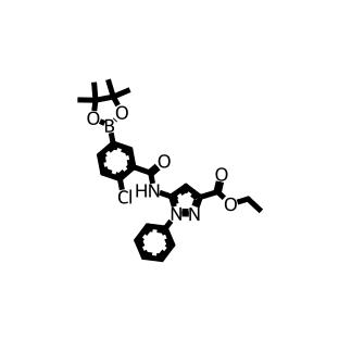 CCOC(=O)c1cc(NC(=O)c2cc(B3OC(C)(C)C(C)(C)O3)ccc2Cl)n(-c2ccccc2)n1